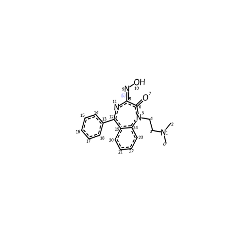 CN(C)CCn1c(=O)/c(=N\O)nc(-c2ccccc2)c2ccccc21